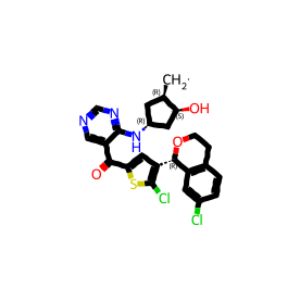 [CH2][C@@H]1C[C@@H](Nc2ncncc2C(=O)c2cc([C@@H]3OCCc4ccc(Cl)cc43)c(Cl)s2)C[C@@H]1O